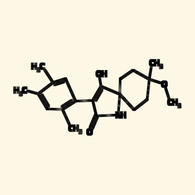 COC1(C)CCC2(CC1)NC(=O)C(c1cc(C)c(C)cc1C)=C2O